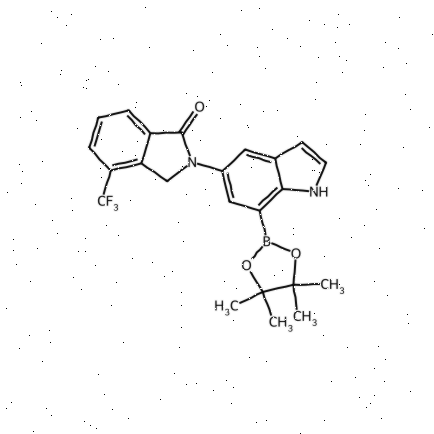 CC1(C)OB(c2cc(N3Cc4c(cccc4C(F)(F)F)C3=O)cc3cc[nH]c23)OC1(C)C